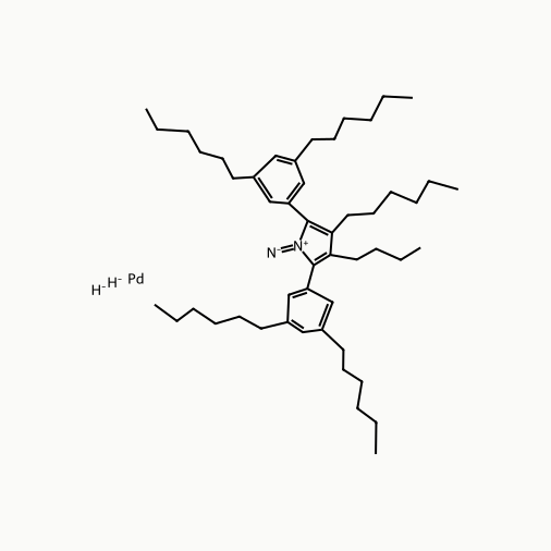 CCCCCCC1=C(c2cc(CCCCCC)cc(CCCCCC)c2)[N+](=[N-])C(c2cc(CCCCCC)cc(CCCCCC)c2)=C1CCCC.[H-].[H-].[Pd]